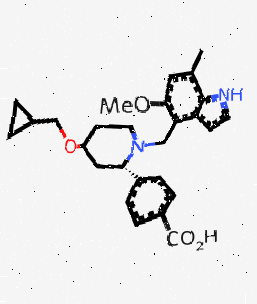 COc1cc(C)c2[nH]ccc2c1CN1CCC(OCC2CC2)C[C@H]1c1ccc(C(=O)O)cc1